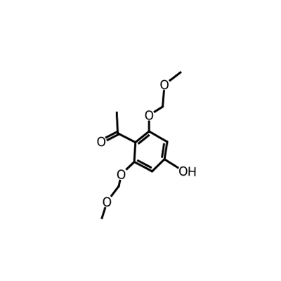 COCOc1cc(O)cc(OCOC)c1C(C)=O